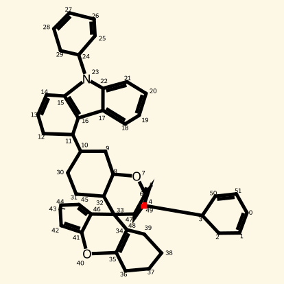 C1=CCC(C2=CC3OC4CC(C5CC=Cc6c5c5ccccc5n6C5C=CC=CC5)CCC4C4(C5=C(CCCC5)Oc5ccccc54)C3C=C2)C=C1